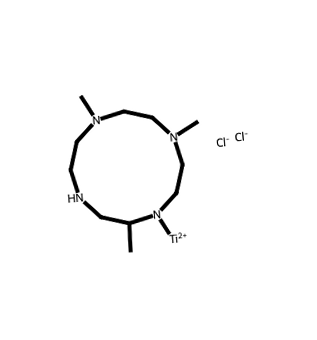 CC1CNCCN(C)CCN(C)CC[N]1[Ti+2].[Cl-].[Cl-]